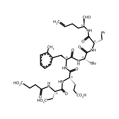 C=CCC[C@@H](C=O)NC(=O)[C@H](CC(C)C)NC(=O)[C@@H](NC(=O)[C@H](Cc1ccccc1C)NC(=O)[C@H](CCC(=O)O)NC(=O)[C@H](CC(=O)O)NC(=O)CCC(=O)O)C(C)(C)C